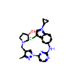 Cc1nn(-c2ccnc(Nc3ccc4c(c3)c(Cl)cn4C3CC3)n2)cc1CN1CC[C@@H](O)C1